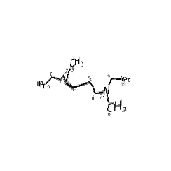 CC(C)CN(C)CCCN(C)CC(C)C